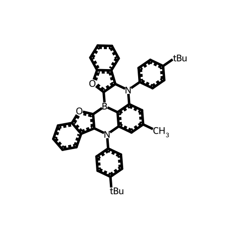 Cc1cc2c3c(c1)N(c1ccc(C(C)(C)C)cc1)c1c(oc4ccccc14)B3c1oc3ccccc3c1N2c1ccc(C(C)(C)C)cc1